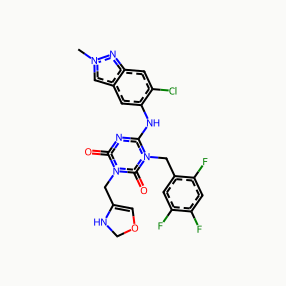 Cn1cc2cc(Nc3nc(=O)n(CC4=COCN4)c(=O)n3Cc3cc(F)c(F)cc3F)c(Cl)cc2n1